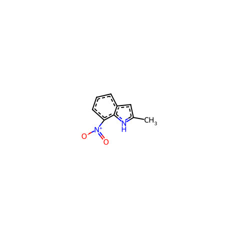 Cc1cc2cccc([N+](=O)[O-])c2[nH]1